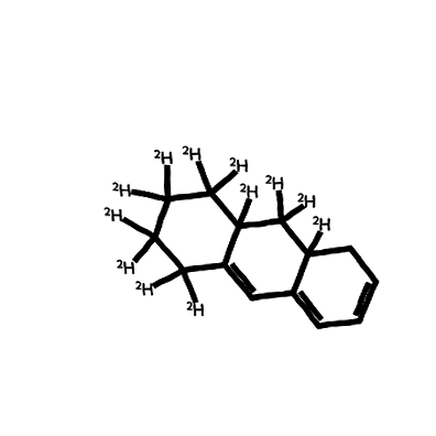 [2H]C1([2H])C2=CC3=CC=CCC3([2H])C([2H])([2H])C2([2H])C([2H])([2H])C([2H])([2H])C1([2H])[2H]